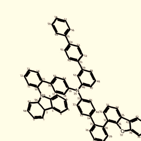 C1=CC2c3ccccc3N(c3ccccc3-c3ccc(N(c4ccc(-c5ccccc5-c5cccc6c5oc5ccccc56)cc4)c4cccc(-c5ccc(-c6ccccc6)cc5)c4)cc3)C2C=C1